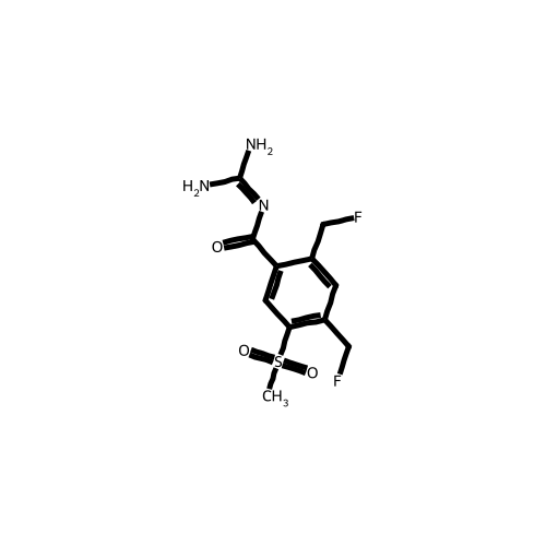 CS(=O)(=O)c1cc(C(=O)N=C(N)N)c(CF)cc1CF